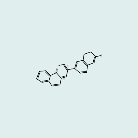 C=c1/c(=C\C(=C/C)c2ccc3c(c2)CCC(I)=C3)ccc2ccccc12